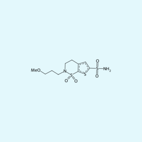 COCCCN1CCc2cc(S(N)(=O)=O)sc2S1(=O)=O